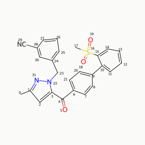 Cc1cc(C(=O)c2ccc(-c3ccccc3S(C)(=O)=O)cc2)n(Cc2cccc(C#N)c2)n1